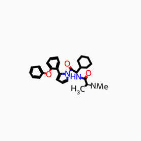 CN[C@@H](C)C(=O)N[C@H](C(=O)n1cccc1-c1ccccc1Oc1ccccc1)C1CCCCC1